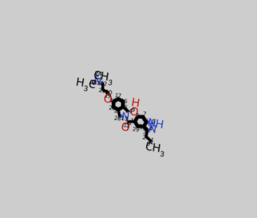 CCCc1n[nH]c2cc(O)c(C(=O)N3Cc4ccc(OCCCN(C)C)cc4C3)cc12